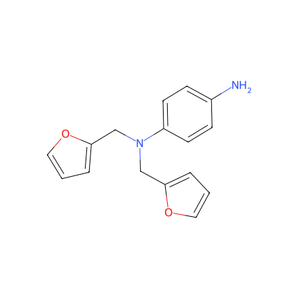 Nc1ccc(N(Cc2ccco2)Cc2ccco2)cc1